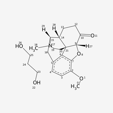 COc1ccc2c3c1O[C@H]1C(=O)CC[C@H]4[C@@H](C2)N(C)CC[C@]314.OCCCO